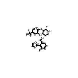 C[C@@H]1NCCC[C@H]1Oc1ncc(C(F)(F)F)cc1Cl.O=Cc1cccc(F)c1-c1ncco1